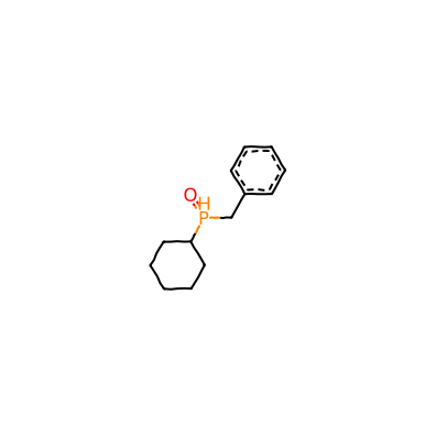 O=[PH](Cc1ccccc1)C1CCCCC1